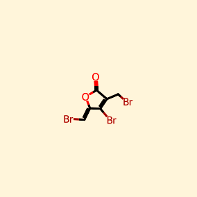 O=C1O/C(=C\Br)C(Br)=C1CBr